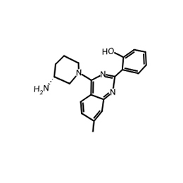 Cc1ccc2c(N3CCC[C@@H](N)C3)nc(-c3ccccc3O)nc2c1